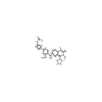 CCC1C(=O)N(C)c2cnc(Nc3ccc(-c4nnc(CN(C)C)o4)cc3OC)nc2N1C1CCCC1